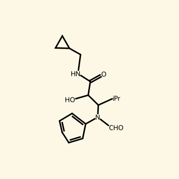 CC(C)C(C(O)C(=O)NCC1CC1)N(C=O)c1ccccc1